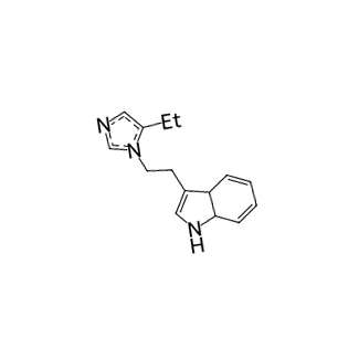 CCc1cncn1CCC1=CNC2C=CC=CC12